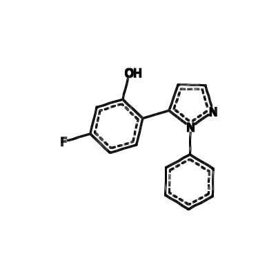 Oc1cc(F)ccc1-c1ccnn1-c1ccccc1